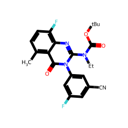 CCN(C(=O)OC(C)(C)C)c1nc2c(F)ccc(C)c2c(=O)n1-c1cc(F)cc(C#N)c1